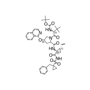 C=C[C@@H]1C[C@]1(NC(=O)C1C[C@@H](Oc2nccc3ccccc23)CN1C(=O)[C@@H](NC(=O)OC(C)(C)C)C(C)(C)C)C(=O)NS(=O)(=O)C1(Cc2ccccc2)CC1